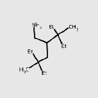 CCC(C)(CC)CC(CN)C(C)(CC)CC